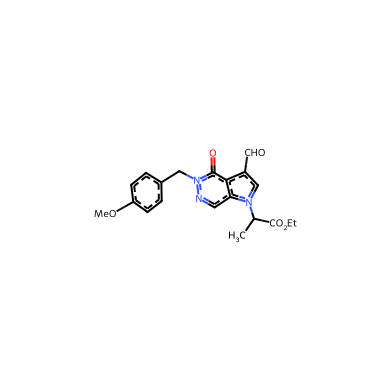 CCOC(=O)C(C)n1cc(C=O)c2c(=O)n(Cc3ccc(OC)cc3)ncc21